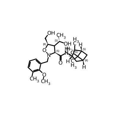 COc1c(C)cccc1CN1O[C@@H](CO)C([C@H](C)O)[C@H]1C(=O)N[C@H]1C[C@H]2C[C@@H]([C@@H]1C)C2(C)C